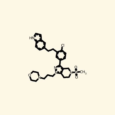 CS(=O)(=O)N1CCc2c(c(-c3ccc(Cl)c(CCc4ccc5[nH]ccc5c4)c3)nn2CCCN2CCOCC2)C1